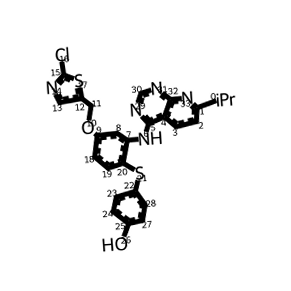 CC(C)c1ccc2c(Nc3cc(OCc4cnc(Cl)s4)ccc3Sc3ccc(O)cc3)ncnc2n1